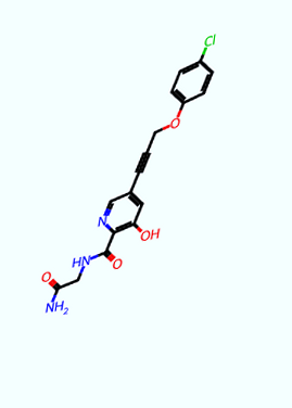 NC(=O)CNC(=O)c1ncc(C#CCOc2ccc(Cl)cc2)cc1O